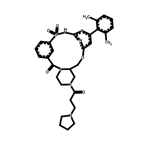 Cc1cccc(C)c1-c1cc2nc(n1)NS(=O)(=O)c1cccc(c1)C(=O)N1CCN(C(=O)CCN3CCCC3)CC1CO2